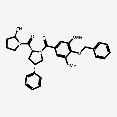 COc1cc(C(=O)N2C[C@H](c3ccccc3)C[C@H]2C(=O)N2CCC[C@H]2C#N)cc(OC)c1OCc1ccccc1